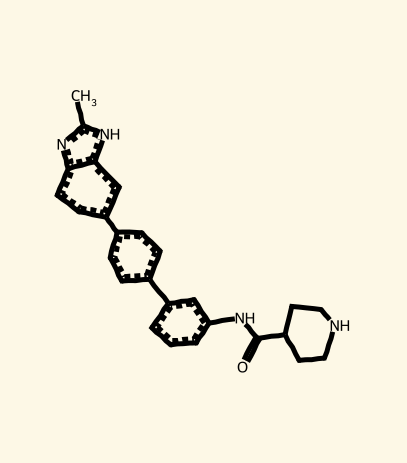 Cc1nc2ccc(-c3ccc(-c4cccc(NC(=O)C5CCNCC5)c4)cc3)cc2[nH]1